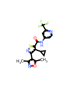 Cc1noc(C)c1-c1nsc(C(=O)Nc2ccnc(C(F)(F)F)c2)c1C1CC1